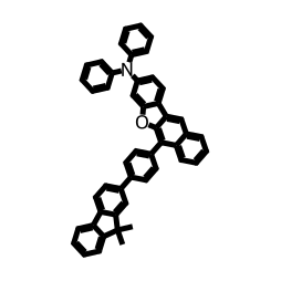 CC1(C)c2ccccc2-c2ccc(-c3ccc(-c4c5ccccc5cc5c4oc4cc(N(c6ccccc6)c6ccccc6)ccc45)cc3)cc21